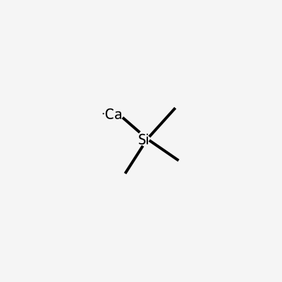 C[Si](C)(C)[Ca]